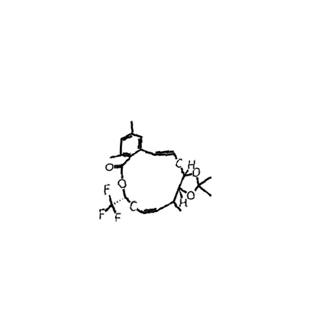 Cc1cc(C)c2c(c1)/C=C/C[C@@H]1OC(C)(C)O[C@@H]1C(C)/C=C\C[C@H](C(F)(F)F)OC2=O